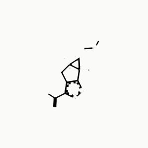 COC[C@H]1[C@@H]2Cc3c(n[nH]c3C(=O)O)[C@H]12